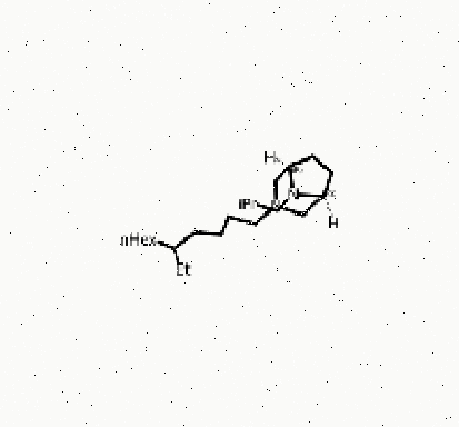 CCCCCCC(CC)CCCCN1C[C@H]2CC[C@@H](C1)N2CC(C)C